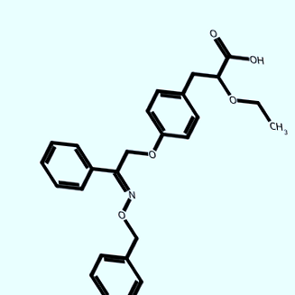 CCOC(Cc1ccc(OCC(=NOCc2ccccc2)c2ccccc2)cc1)C(=O)O